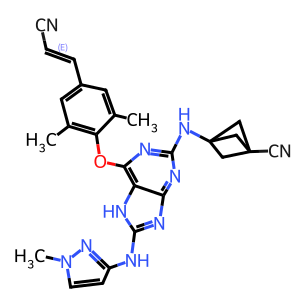 Cc1cc(/C=C/C#N)cc(C)c1Oc1nc(NC23CC(C#N)(C2)C3)nc2nc(Nc3ccn(C)n3)[nH]c12